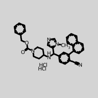 Cl.Cl.Cn1cncc1C(NC1CCN(C(=O)OCc2ccccc2)CC1)c1ccc(C#N)c(-c2cccc3ccccc23)c1